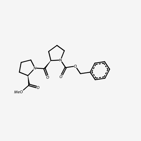 COC(=O)[C@H]1CCCN1C(=O)[C@H]1CCCN1C(=O)OCc1ccccc1